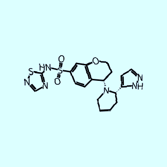 O=S(=O)(Nc1ncns1)c1ccc2c(c1)OCC[C@@H]2N1CCCC[C@H]1c1ccn[nH]1